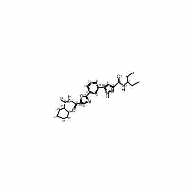 CCC(CC)NC(=O)c1cc(-c2cccc(-c3ncc(C(=O)NC(C)C4CCCCC4)o3)c2)[nH]n1